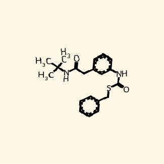 CC(C)(C)NC(=O)Cc1cccc(NC(=O)SCc2ccccc2)c1